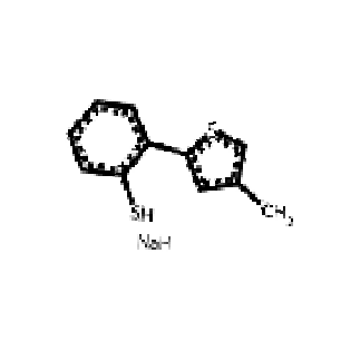 Cc1csc(-c2ccccc2S)c1.[NaH]